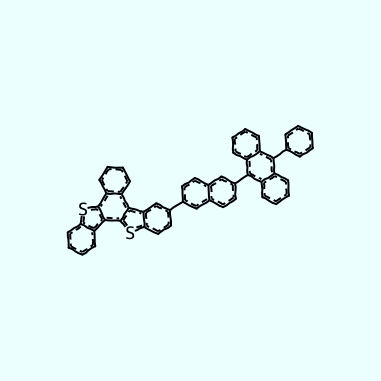 c1ccc(-c2c3ccccc3c(-c3ccc4cc(-c5ccc6sc7c(c6c5)c5ccccc5c5sc6ccccc6c57)ccc4c3)c3ccccc23)cc1